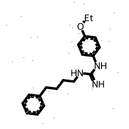 CCOc1ccc(NC(=N)NCCCCc2ccccc2)cc1